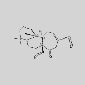 CC1(C)CCC[C@@]2(C)C1CC[C@@]1(C=O)C(=O)CC(C=O)=CC[C@@H]12